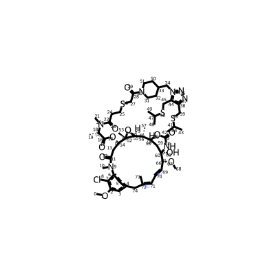 COc1cc2cc(c1Cl)N(C)C(=O)C[C@H](OC(=O)[C@H](C)N(C)C(=O)CCSCC(=O)N1CCC(Cn3nnc(CSC(C)C)c3CSC(C)C)CC1)[C@]1(C)O[C@H]1[C@H](C)[C@@H]1C[C@@](O)(NC(=O)O1)[C@H](OC)/C=C/C=C(\C)C2